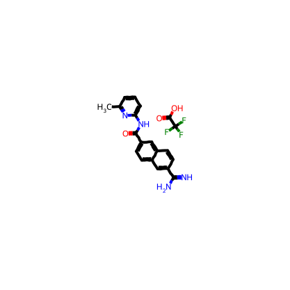 Cc1cccc(NC(=O)c2ccc3cc(C(=N)N)ccc3c2)n1.O=C(O)C(F)(F)F